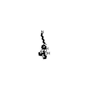 N#CCCCCCC[N+]12CCC(CC1)[C@@H](OC(=O)C(O)(c1cccs1)c1cccs1)C2